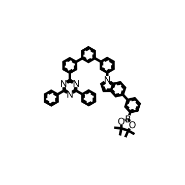 CC1(C)OB(c2cccc(-c3ccc4c(ccn4-c4cccc(-c5cccc(-c6cccc(-c7nc(-c8ccccc8)nc(-c8ccccc8)n7)c6)c5)c4)c3)c2)OC1(C)C